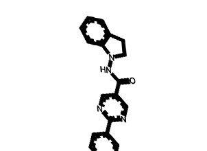 O=C(NN1CCc2ccccc21)c1cnc(-c2ccccc2)nc1